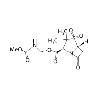 COC(=O)NCOC(=O)[C@@H]1N2C(=O)C[C@H]2S(=O)(=O)C1(C)C